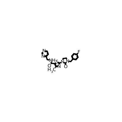 Cc1nc(N2CCN(Cc3ccc(F)cc3)C2=O)sc1C(=O)NCc1ccncn1